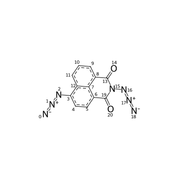 [N-]=[N+]=Nc1ccc2c3c(cccc13)C(=O)N(N=[N+]=[N-])C2=O